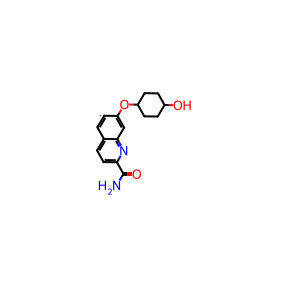 NC(=O)c1ccc2c[c]c(OC3CCC(O)CC3)cc2n1